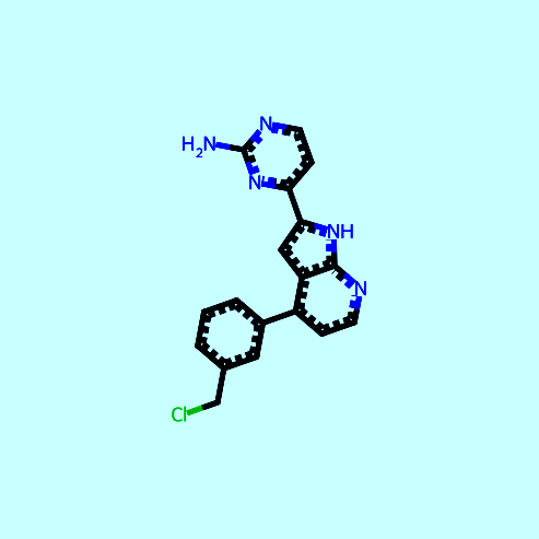 Nc1nccc(-c2cc3c(-c4cccc(CCl)c4)ccnc3[nH]2)n1